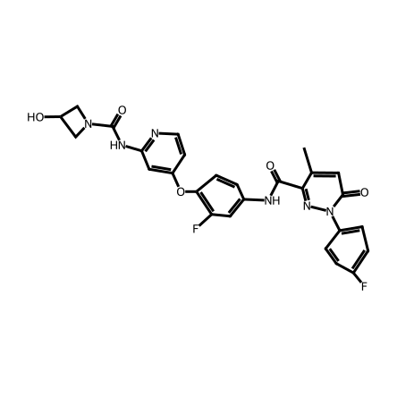 Cc1cc(=O)n(-c2ccc(F)cc2)nc1C(=O)Nc1ccc(Oc2ccnc(NC(=O)N3CC(O)C3)c2)c(F)c1